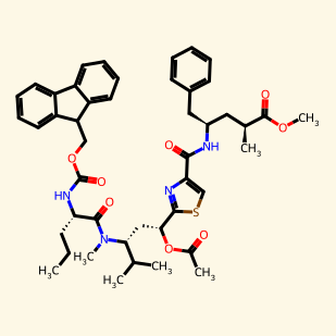 CCC[C@H](NC(=O)OCC1c2ccccc2-c2ccccc21)C(=O)N(C)[C@H](C[C@@H](OC(C)=O)c1nc(C(=O)N[C@@H](Cc2ccccc2)C[C@H](C)C(=O)OC)cs1)C(C)C